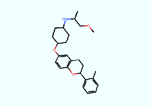 COCC(C)NC1CCC(Oc2ccc3c(c2)CCC(c2ccccc2C)O3)CC1